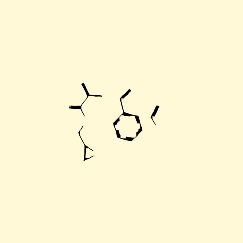 C=C(C)C(=O)OCC1CO1.C=CC(=O)O.C=Cc1ccccc1